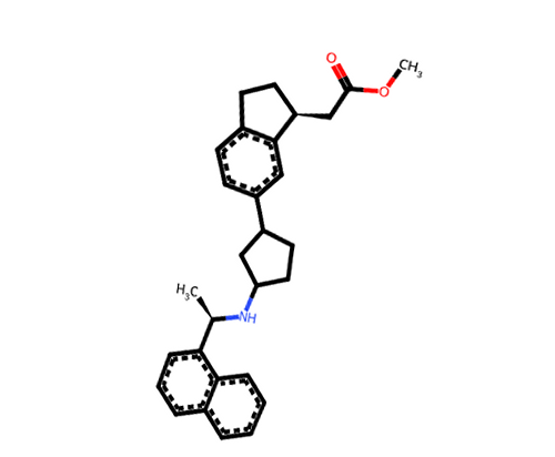 COC(=O)C[C@@H]1CCc2ccc(C3CCC(N[C@H](C)c4cccc5ccccc45)C3)cc21